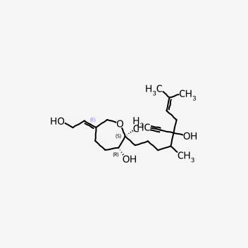 C#CC(O)(CC=C(C)C)C(C)CCC[C@]1(C)OC/C(=C/CO)CC[C@H]1O